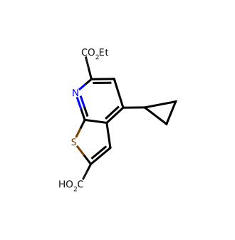 CCOC(=O)c1cc(C2CC2)c2cc(C(=O)O)sc2n1